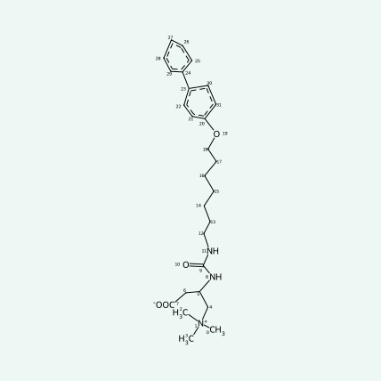 C[N+](C)(C)CC(CC(=O)[O-])NC(=O)NCCCCCCCOc1ccc(-c2ccccc2)cc1